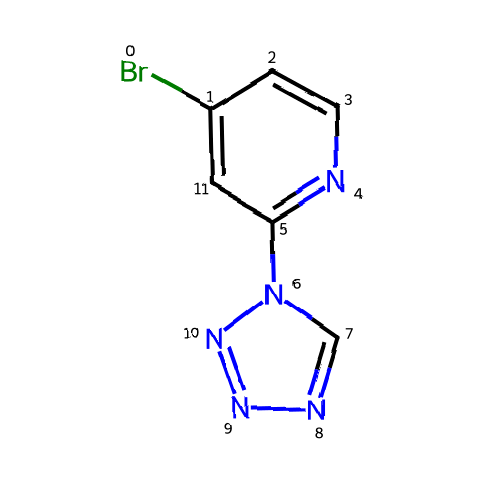 Brc1ccnc(-n2cnnn2)c1